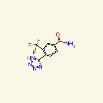 NC(=O)c1ccc(-c2nnn[nH]2)c(C(F)(F)F)c1